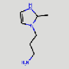 CC1NC=CN1CCCN